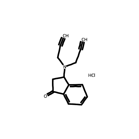 C#CCN(CC#C)C1CC(=O)c2ccccc21.Cl